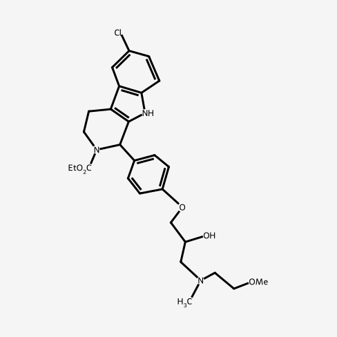 CCOC(=O)N1CCc2c([nH]c3ccc(Cl)cc23)C1c1ccc(OCC(O)CN(C)CCOC)cc1